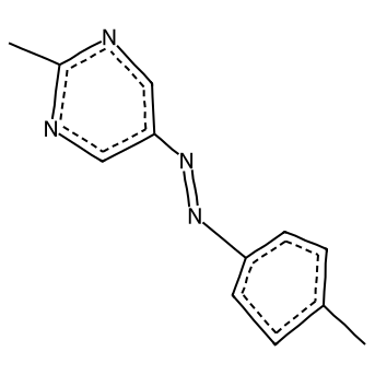 Cc1ccc(N=Nc2cnc(C)nc2)cc1